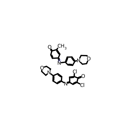 CC1=C/C(=N\c2ccc(N3CCOCC3)cc2)C=CC1=O.O=C1C(Cl)=CC(=Nc2ccc(N3CCOCC3)cc2)C=C1Cl